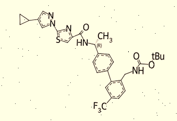 C[C@@H](NC(=O)c1csc(-n2cc(C3CC3)cn2)n1)c1ccc(-c2cc(C(F)(F)F)ccc2CNC(=O)OC(C)(C)C)cc1